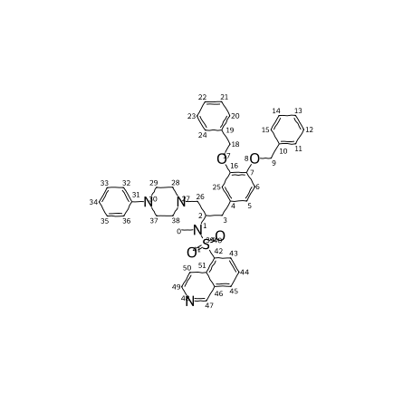 CN(C(Cc1ccc(OCc2ccccc2)c(OCc2ccccc2)c1)CN1CCN(c2ccccc2)CC1)S(=O)(=O)c1cccc2cnccc12